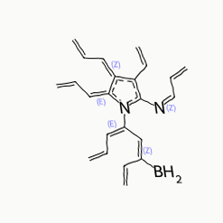 B/C(C=C)=C/C(=C\C=C)n1c(/N=C\C=C)c(C=C)c(=C/C=C)/c1=C\C=C